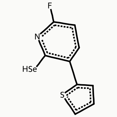 Fc1ccc(-c2cccs2)c([SeH])n1